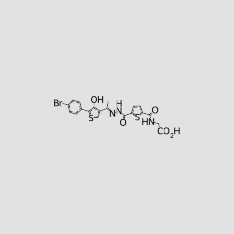 C/C(=N\NC(=O)c1ccc(C(=O)NCC(=O)O)s1)c1csc(-c2ccc(Br)cc2)c1O